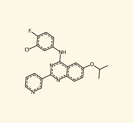 CC(C)Oc1ccc2nc(-c3cccnc3)nc(Nc3ccc(F)c(Cl)c3)c2c1